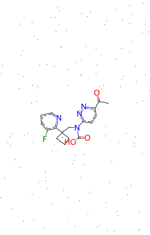 CC(=O)c1ccc(N(CC2(c3ncccc3F)CCC2)C(=O)O)nn1